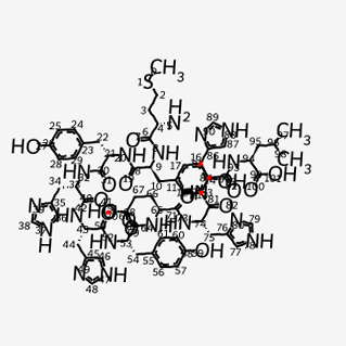 CSCC[C@H](N)C(=O)N[C@@H](Cc1ccc(O)cc1)C(=O)N[C@@H](Cc1ccc(O)cc1)C(=O)N[C@@H](Cc1c[nH]cn1)C(=O)N[C@@H](Cc1c[nH]cn1)C(=O)N[C@@H](Cc1ccc(O)cc1)C(=O)N[C@@H](CCC(=O)O)C(=O)N[C@@H](Cc1c[nH]cn1)C(=O)N[C@@H](Cc1c[nH]cn1)C(=O)N[C@@H](CC(C)C)C(=O)O